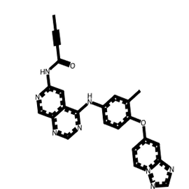 CC#CC(=O)Nc1cc2c(Nc3ccc(Oc4ccn5ncnc5c4)c(C)c3)ncnc2cn1